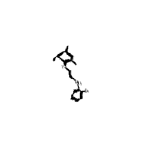 CCc1ccccc1NCCNc1c(C)cc(C)cc1C